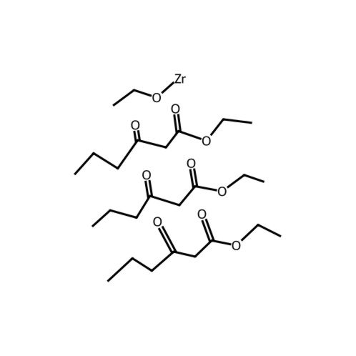 CCCC(=O)CC(=O)OCC.CCCC(=O)CC(=O)OCC.CCCC(=O)CC(=O)OCC.CC[O][Zr]